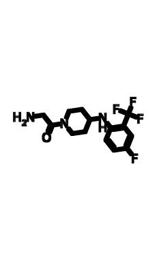 NCC(=O)N1CCC(Nc2ccc(F)cc2C(F)(F)F)CC1